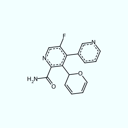 NC(=O)c1ncc(F)c(-c2cccnc2)c1C1C=CC=CO1